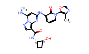 CNc1cc(Nc2cccn(-c3ocnc3C)c2=O)nc2c(C(=O)N[C@H]3CC[C@H]3O)cnn12